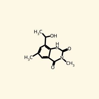 Cc1cc(C(C)O)c2[nH]c(=O)n(C)c(=O)c2c1